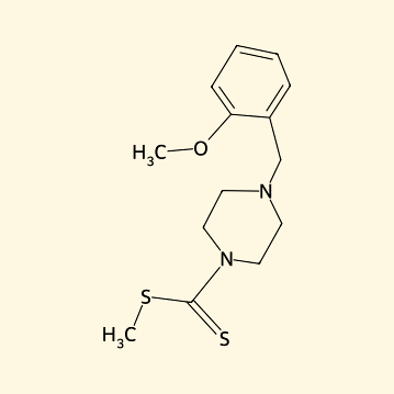 COc1ccccc1CN1CCN(C(=S)SC)CC1